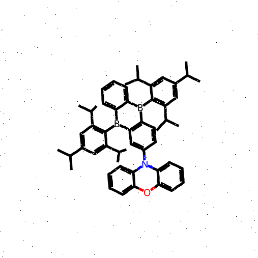 CC(C)c1cc(C(C)C)c(B2c3ccccc3B(c3c(C(C)C)cc(C(C)C)cc3C(C)C)c3cc(N4c5ccccc5Oc5ccccc54)ccc32)c(C(C)C)c1